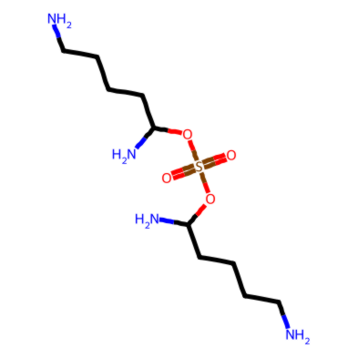 NCCCCC(N)OS(=O)(=O)OC(N)CCCCN